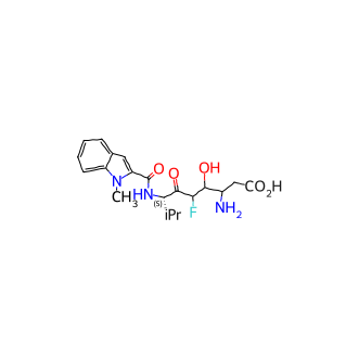 CC(C)[C@H](NC(=O)c1cc2ccccc2n1C)C(=O)C(F)C(O)C(N)CC(=O)O